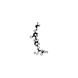 C[C@@H](COc1ncc2nc(-c3ncc(OC[C@H]4CC4(F)F)cc3Cl)oc2n1)NC(=O)O